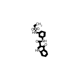 C=CS(=O)(=O)Nc1cccc(NC(=O)c2c[nH]c3ccccc3c2=O)c1